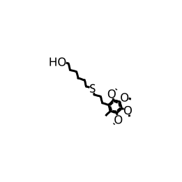 COc1c(C)c(CCCSCCCCCCO)c(OC)c(OC)c1OC